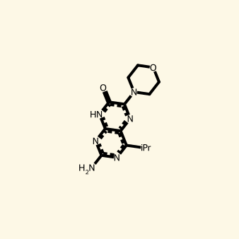 CC(C)c1nc(N)nc2[nH]c(=O)c(N3CCOCC3)nc12